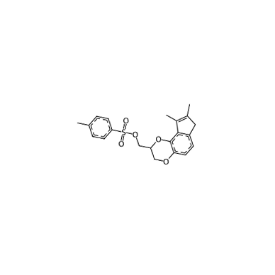 CC1=C(C)c2c(ccc3c2OC(COS(=O)(=O)c2ccc(C)cc2)CO3)C1